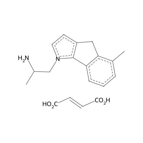 Cc1cccc2c1Cc1ccn(CC(C)N)c1-2.O=C(O)C=CC(=O)O